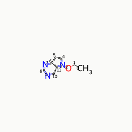 CCOn1ccc2ncncc21